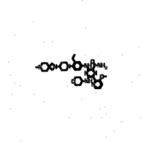 CCc1cc(Nc2nc(NC3CCOCC3)c(-c3ncccc3OC)nc2C(N)=O)ccc1N1CCC(N2CC3(CCN(C)CC3)C2)CC1